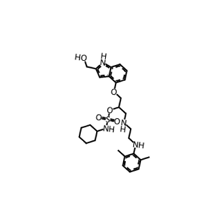 Cc1cccc(C)c1NCCNCC(COc1cccc2[nH]c(CO)cc12)OS(=O)(=O)NC1CCCCC1